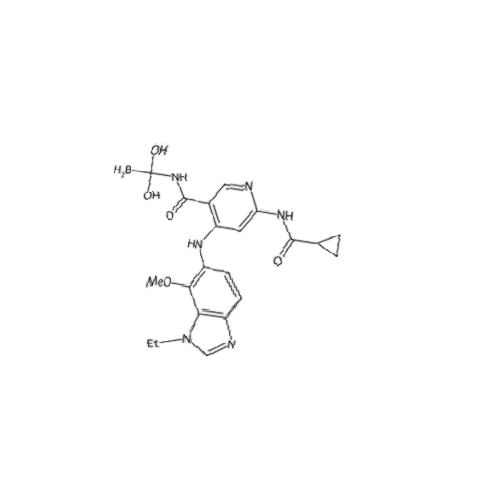 BC(O)(O)NC(=O)c1cnc(NC(=O)C2CC2)cc1Nc1ccc2ncn(CC)c2c1OC